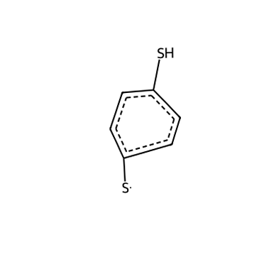 [S]c1ccc(S)cc1